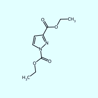 CCOC(=O)c1ccn(C(=O)OCC)n1